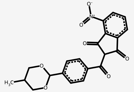 CC1COC(c2ccc(C(=O)C3C(=O)c4cccc([N+](=O)[O-])c4C3=O)cc2)OC1